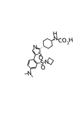 CN(C)c1ccc(-c2cnc([C@H]3CC[C@H](NC(=O)O)CC3)s2)c(S(=O)(=O)N2CCC2)c1